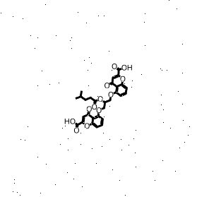 CC(C)CCC(=O)OC(COc1cccc2oc(C(=O)O)cc(=O)c12)COc1cccc2oc(C(=O)O)cc(=O)c12